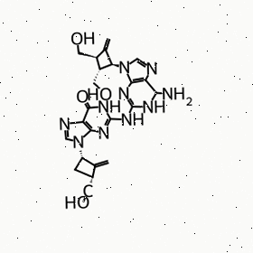 C=C1[C@@H](n2cnc3c2N=C(Nc2nc4c(ncn4[C@H]4C[C@@H](CO)C4=C)c(=O)[nH]2)NC3N)[C@H](CO)[C@H]1CO